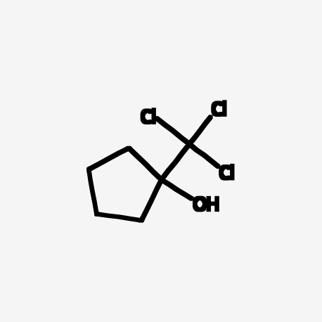 OC1(C(Cl)(Cl)Cl)CCCC1